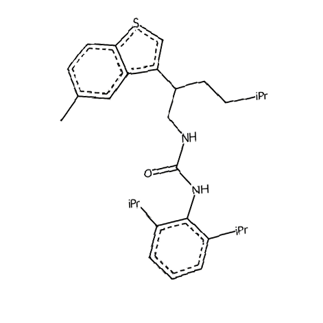 Cc1ccc2scc(C(CCC(C)C)CNC(=O)Nc3c(C(C)C)cccc3C(C)C)c2c1